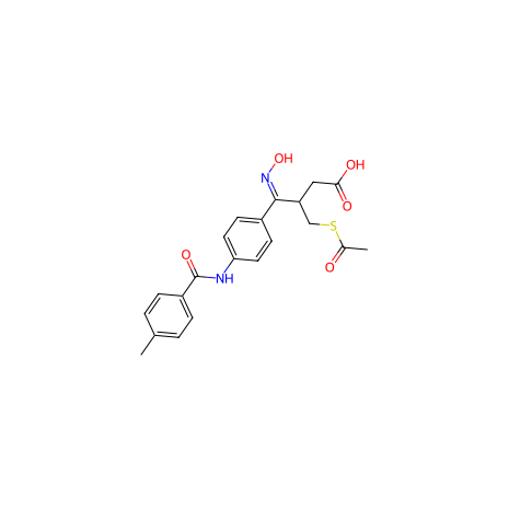 CC(=O)SCC(CC(=O)O)C(=NO)c1ccc(NC(=O)c2ccc(C)cc2)cc1